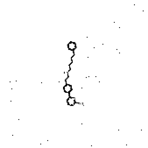 Nc1cccc(-c2ccc(CCNCCCCCc3ccccc3)cc2)n1